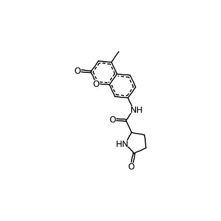 Cc1cc(=O)oc2cc(NC(=O)C3CCC(=O)N3)ccc12